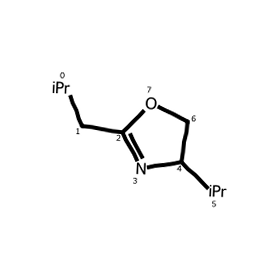 CC(C)CC1=NC(C(C)C)CO1